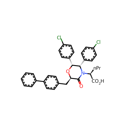 CCC[C@@H](C(=O)O)N1C(=O)[C@@H](Cc2ccc(-c3ccccc3)cc2)O[C@H](c2ccc(Cl)cc2)[C@@H]1c1ccc(Cl)cc1